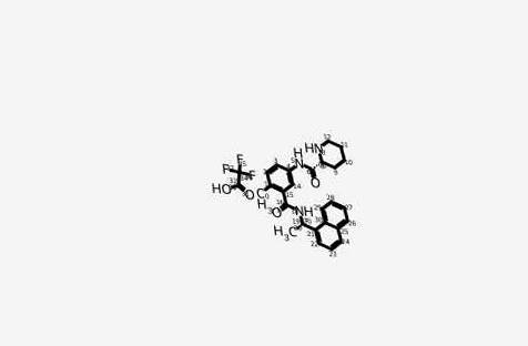 Cc1ccc(NC(=O)[C@H]2CCCCN2)cc1C(=O)N[C@H](C)c1cccc2ccccc12.O=C(O)C(F)(F)F